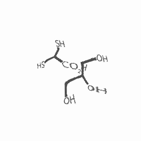 O=C(O)C(S)S.OCC(O)CO